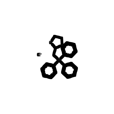 [Cl-].c1ccc([P+](CC2NCCO2)(c2ccccc2)c2ccccc2)cc1